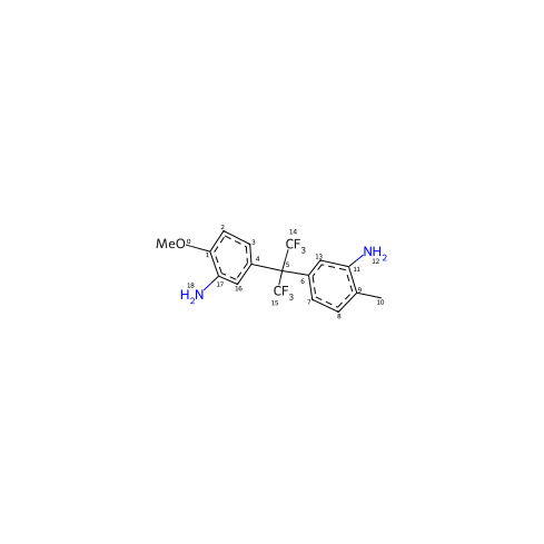 COc1ccc(C(c2ccc(C)c(N)c2)(C(F)(F)F)C(F)(F)F)cc1N